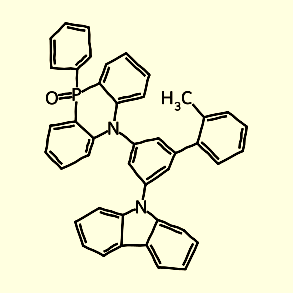 Cc1ccccc1-c1cc(N2c3ccccc3P(=O)(c3ccccc3)c3ccccc32)cc(-n2c3ccccc3c3ccccc32)c1